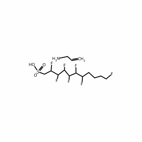 C=CCN.O=S(=O)(O)CC(F)C(F)C(F)C(F)C(F)C(F)CCCCF